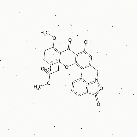 COC(=O)C[C@]12Oc3c(c(O)cc4c3-c3cccc5c(=O)on(c35)C4)C(=O)C1=C(OC)CC[C@@H]2O